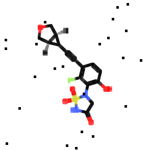 O=C1CN(c2c(O)ccc(C#CC3[C@H]4COC[C@@H]34)c2F)S(=O)(=O)N1